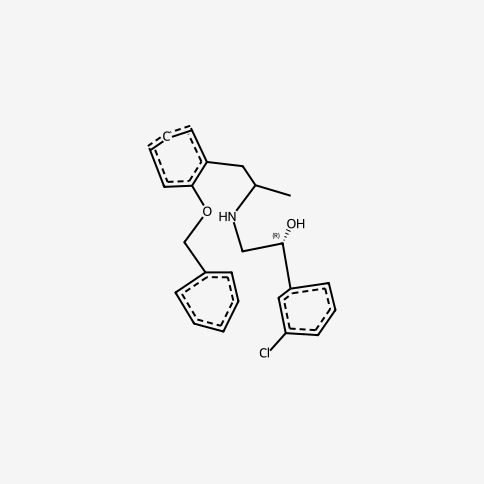 CC(Cc1ccccc1OCc1ccccc1)NC[C@H](O)c1cccc(Cl)c1